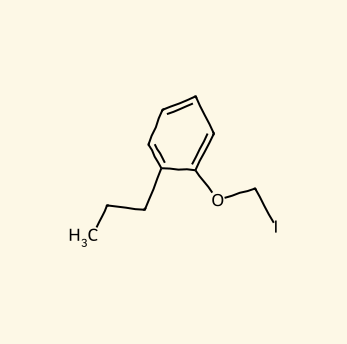 CCCc1ccccc1OCI